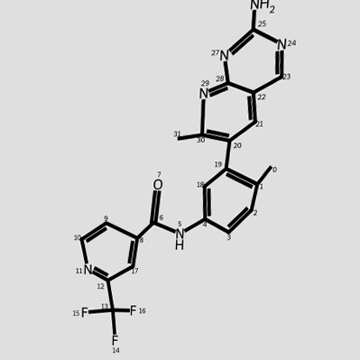 Cc1ccc(NC(=O)c2ccnc(C(F)(F)F)c2)cc1-c1cc2cnc(N)nc2nc1C